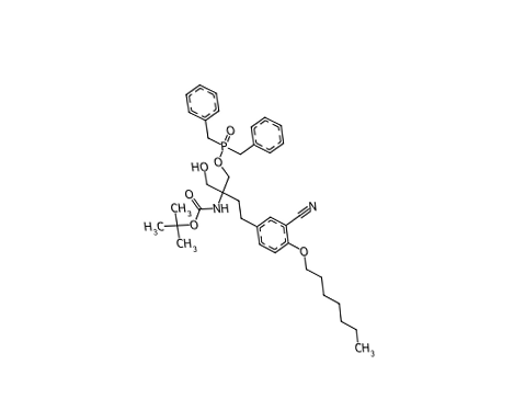 CCCCCCCOc1ccc(CCC(CO)(COP(=O)(Cc2ccccc2)Cc2ccccc2)NC(=O)OC(C)(C)C)cc1C#N